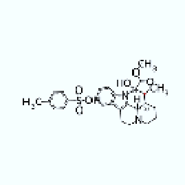 CC[C@]12CCCN3CCc4c(n(c5ccccc45)[C@@](O)(C(=O)OC)C1)[C@@H]32.Cc1ccc(S(=O)(=O)O)cc1